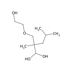 CC(C)CC(C)(COCCO)C(O)O